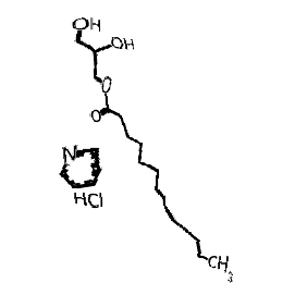 CCCCCCCCCCCC(=O)OCC(O)CO.Cl.c1ccncc1